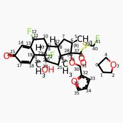 C1CCOC1.C[C@@H]1C[C@H]2[C@@H]3C[C@H](F)C4=CC(=O)C=C[C@]4(C)[C@@]3(F)[C@@H](O)C[C@]2(C)[C@@]1(OC(=O)c1ccco1)C(=O)SCF